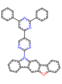 c1ccc(-c2cc(-c3cnc(-n4c5ccccc5c5cc6oc7ccccc7c6cc54)nc3)nc(-c3ccccc3)n2)cc1